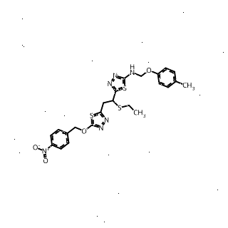 CCSC(Cc1nnc(OCc2ccc([N+](=O)[O-])cc2)s1)c1nnc(NCOc2ccc(C)cc2)s1